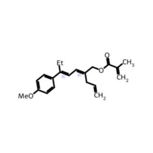 C=CC/C(=C\C=C(/CC)c1ccc(OC)cc1)COC(=O)C(=C)C